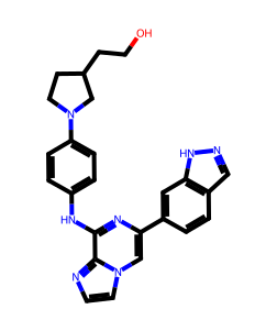 OCCC1CCN(c2ccc(Nc3nc(-c4ccc5cn[nH]c5c4)cn4ccnc34)cc2)C1